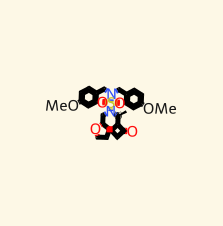 COc1ccc(CN(Cc2ccc(OC)cc2)S(=O)(=O)N(CC2CCCO2)[C@@H](C)C2CCC2=O)cc1